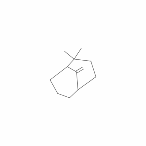 C=C1C2CCCC1C(C)(C)CC2